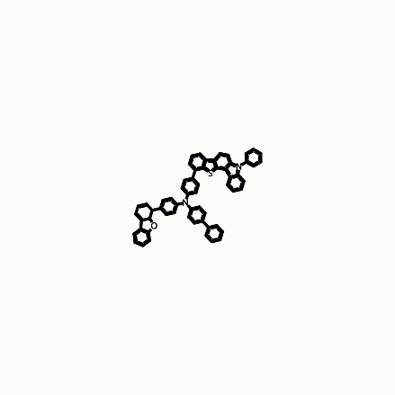 C1=CC(c2ccc(N(c3ccc(-c4ccccc4)cc3)c3ccc(-c4cccc5c4sc4c5ccc5c4c4ccccc4n5-c4ccccc4)cc3)cc2)C2Oc3ccccc3C2=C1